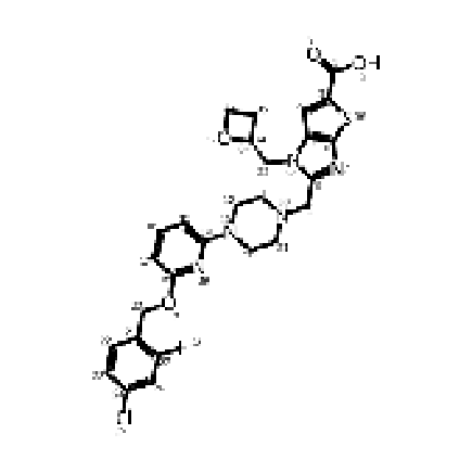 O=C(O)c1cc2c(nc(CN3CCN(c4cccc(OCc5ccc(Cl)cc5F)n4)CC3)n2C[C@@H]2CCO2)s1